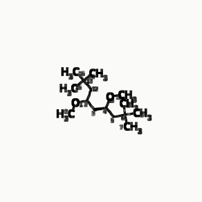 COC(C[C@H](CC(C)(C)C)OC)CC(C)(C)C